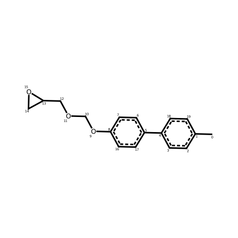 Cc1ccc(-c2ccc(OCOCC3CO3)cc2)cc1